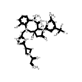 C=CC(=O)N1CC(c2noc(CN3C[C@H]4CC(=O)N(c5cc(C(F)(F)F)cc(C)n5)[C@@H]4C(=O)N(C)c4cccc(F)c43)n2)C1